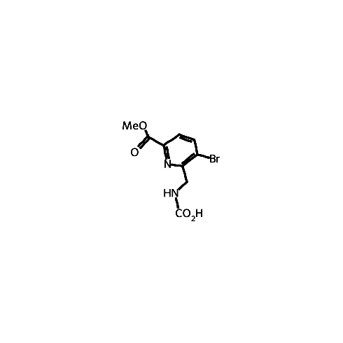 COC(=O)c1ccc(Br)c(CNC(=O)O)n1